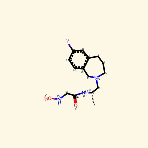 C[C@@H](CN1CCCc2cc(I)ccc2C1)NC(=O)CNO